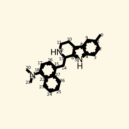 Cc1ccc2[nH]c3c(c2c1)CCNC3Cc1ccc(N(C)C)c2ccccc12